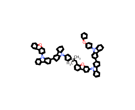 C[Si](C)(Cc1cccc2c1oc1cc(-n3c4ccccc4c4ccc(-c5ccc6c(c5)c5ccccc5n6-c5ccc(Oc6ccccc6)cc5)cc43)ccc12)c1ccc(-n2c3ccccc3c3cc(-c4ccc5c6ccccc6n(-c6ccc7oc8ccccc8c7c6)c5c4)ccc32)cc1